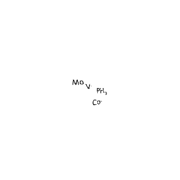 P.[Co].[Mo].[V]